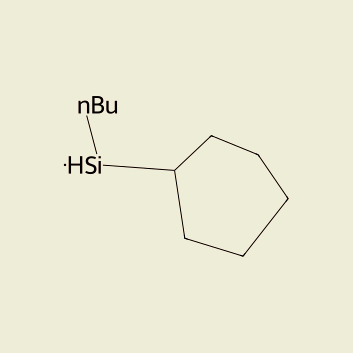 CCCC[SiH]C1CCCCC1